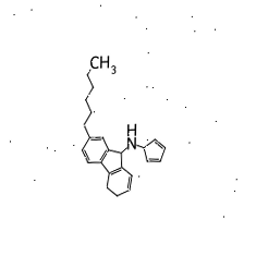 CCCCCCc1ccc2c(c1)C(NC1C=CC=C1)C1=C2CCC=C1